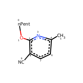 CCCCCOc1nc(C)ccc1C#N